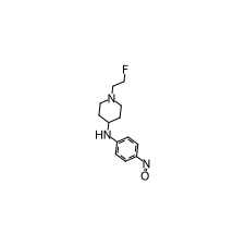 O=Nc1ccc(NC2CCN(CCF)CC2)cc1